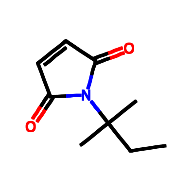 CCC(C)(C)N1C(=O)C=CC1=O